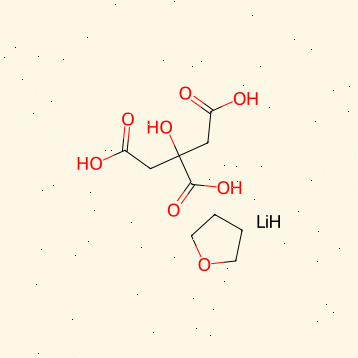 C1CCOC1.O=C(O)CC(O)(CC(=O)O)C(=O)O.[LiH]